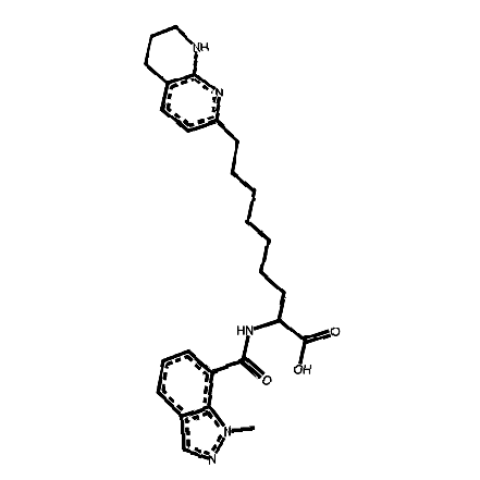 Cn1ncc2cccc(C(=O)NC(CCCCCCCc3ccc4c(n3)NCCC4)C(=O)O)c21